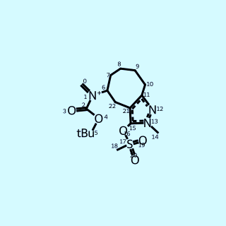 C=[N+](C(=O)OC(C)(C)C)C1CCCCc2nn(C)c(OS(C)(=O)=O)c2C1